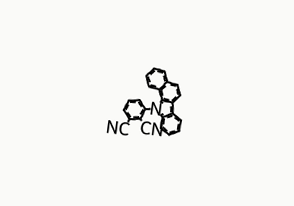 N#Cc1cccc(-n2c3ccccc3c3ccc4ccccc4c32)c1C#N